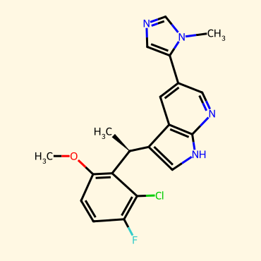 COc1ccc(F)c(Cl)c1[C@@H](C)c1c[nH]c2ncc(-c3cncn3C)cc12